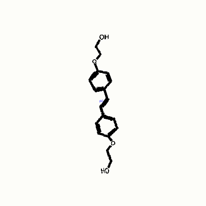 OCCOc1ccc(/C=C/c2ccc(OCCO)cc2)cc1